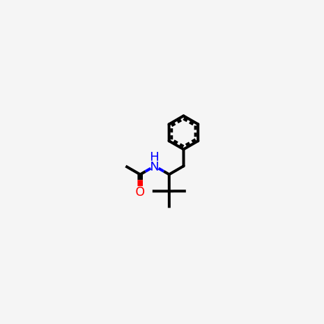 CC(=O)NC(Cc1ccccc1)C(C)(C)C